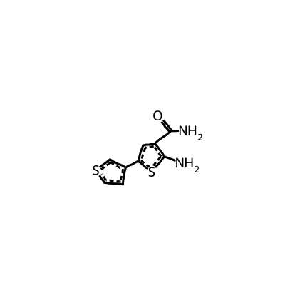 NC(=O)c1cc(-c2ccsc2)sc1N